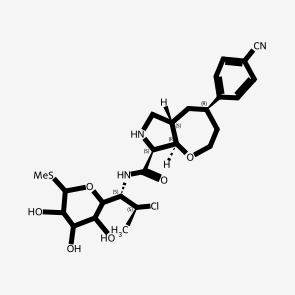 CSC1OC([C@H](NC(=O)[C@H]2NC[C@@H]3C[C@@H](c4ccc(C#N)cc4)CCO[C@H]32)[C@H](C)Cl)C(O)C(O)C1O